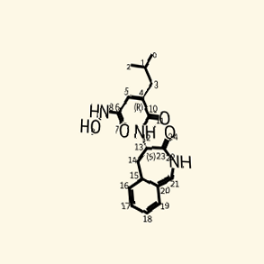 CC(C)C[C@H](CC(=O)NO)C(=O)N[C@H]1CC2C=CC=CC2=CNC1=O